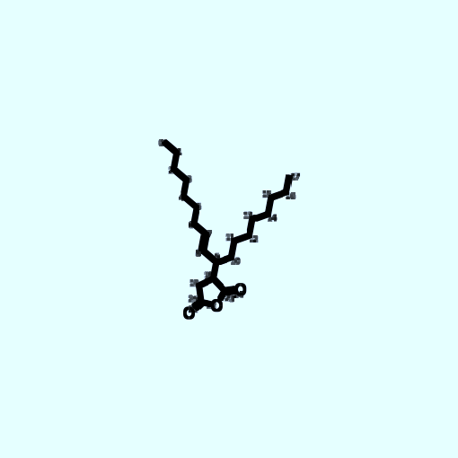 CCCCCCCC=CC(CCCCCCCC)C1CC(=O)OC1=O